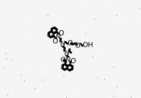 CC(C)N(CCCN(CCOCCOCCO)CCN1C(=O)c2cccc3cccc(c23)C1=O)CCN1C(=O)c2cccc3cccc(c23)C1=O